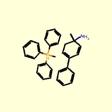 CC1(N)C=CC(c2ccccc2)=CC1.C[PH](c1ccccc1)(c1ccccc1)c1ccccc1